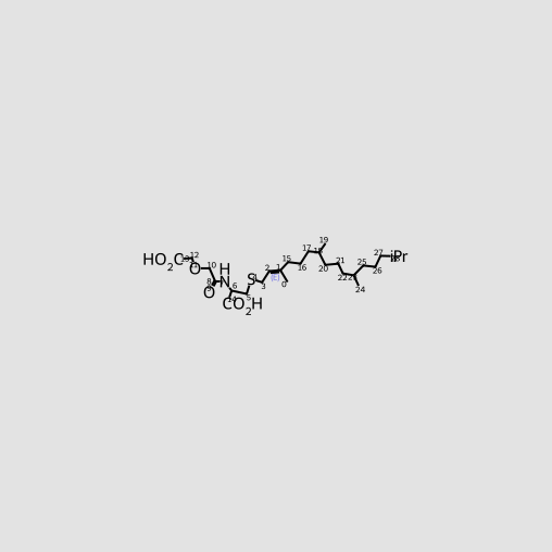 C/C(=C\CSCC(NC(=O)COCC(=O)O)C(=O)O)CCCC(C)CCCC(C)CCCC(C)C